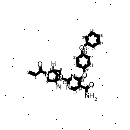 C=CC(=O)N1C[C@@H]2C[C@H]1CN2c1ncc(C(N)=O)c(Oc2ccc(Oc3ccccc3)cc2)n1